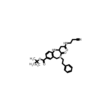 CC(C)(C)OC(=O)c1ccc2c(c1)CN(CCc1ccccc1)C(=O)C(CC(=O)NCCC#N)N2